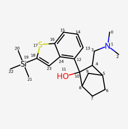 CN(C)CC1C2CCC(C2)C1(O)c1cccc2sc([Si](C)(C)C)cc12